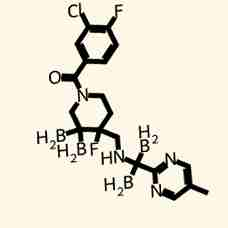 BC(B)(NCC1(F)CCN(C(=O)c2ccc(F)c(Cl)c2)CC1(B)B)c1ncc(C)cn1